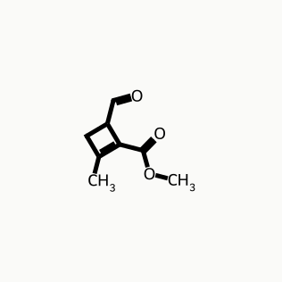 COC(=O)C1=C(C)CC1C=O